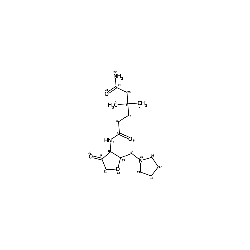 CC(C)(CCC(=O)NC1C(=O)COC1CN1CCCC1)CC(N)=O